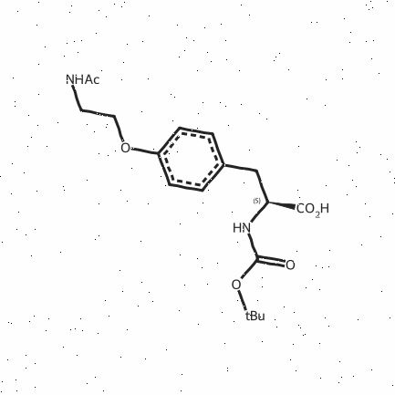 CC(=O)NCCOc1ccc(C[C@H](NC(=O)OC(C)(C)C)C(=O)O)cc1